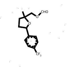 CC1(COC=O)CCC(c2ccc(C(F)(F)F)cc2)O1